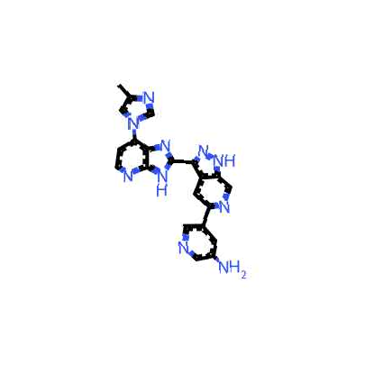 Cc1cn(-c2ccnc3[nH]c(-c4n[nH]c5cnc(-c6cncc(N)c6)cc45)nc23)cn1